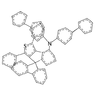 c1ccc(-c2ccc(N(c3ccc(-c4ccccc4)cc3)c3cccc4c3-c3c(-c5ccccc5)sc(-c5ccccc5)c3C43c4ccccc4-c4ccccc43)cc2)cc1